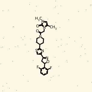 Cc1cn(C)c(=O)n1CC(=O)N1CCC(c2nc(C3=NOC(c4c(F)cccc4F)C3)cs2)CC1